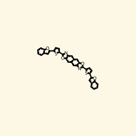 c1ccc2oc(-c3ccc(-c4nc5cc6cc7oc(-c8ccc(-c9cc%10ccccc%10o9)s8)nc7cc6cc5o4)s3)cc2c1